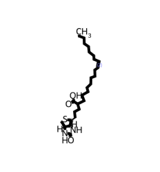 CCCCCCCC/C=C\CCCCCCCCC(CCC[C@@H]1SC[C@@H]2NC(=O)N[C@@H]21)C(=O)O